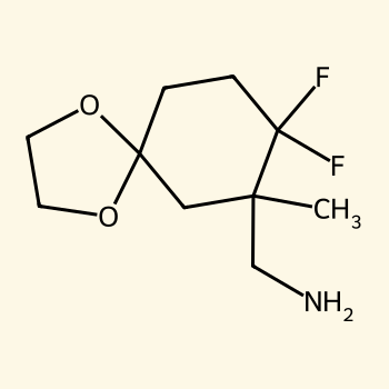 CC1(CN)CC2(CCC1(F)F)OCCO2